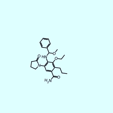 CCCc1c(C(N)=O)cc(N2CCCC2=O)c(NC(OC)c2ccccc2)c1OCC